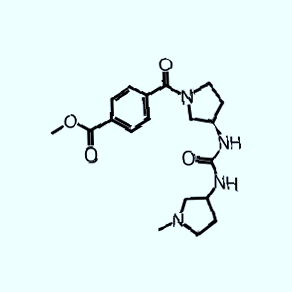 COC(=O)c1ccc(C(=O)N2CC[C@@H](NC(=O)NC3CCN(C)C3)C2)cc1